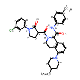 COC1CCN(c2cccc3c2CCN(C(=O)C2CCN(c4cccc(Cl)c4)C2=O)C3C(=O)Nc2ccc(C(=O)O)cc2)CC1